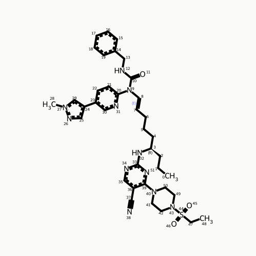 CCC[C@H](CCC/C=C/N(C(=O)NCc1ccccc1)c1ccc(-c2cnn(C)c2)cn1)Nc1ncc(C#N)c(N2CCN(S(=O)(=O)CC)CC2)n1